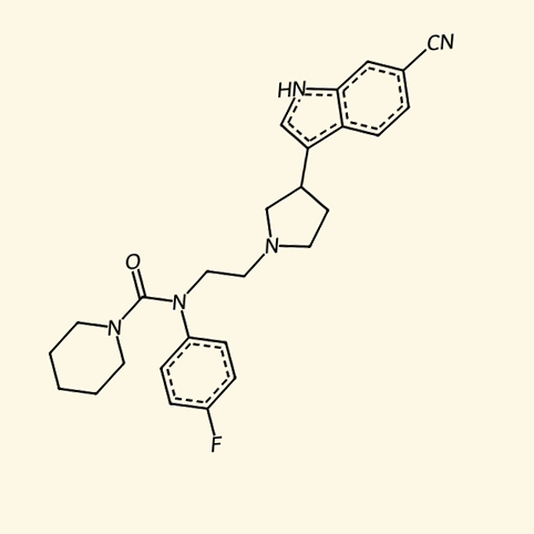 N#Cc1ccc2c(C3CCN(CCN(C(=O)N4CCCCC4)c4ccc(F)cc4)C3)c[nH]c2c1